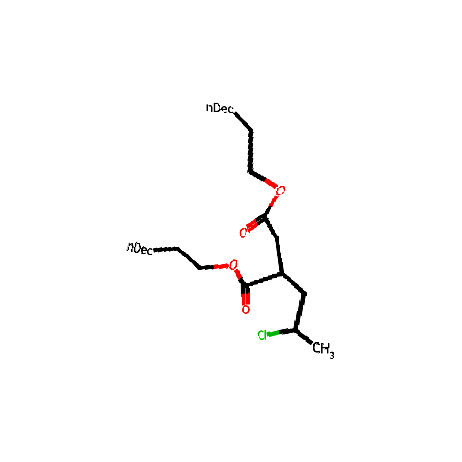 CCCCCCCCCCCCOC(=O)CC(CC(C)Cl)C(=O)OCCCCCCCCCCCC